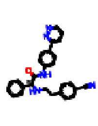 N#Cc1ccc(CCN[C@H](C(=O)Nc2ccc(-c3cccnn3)cc2)c2ccccc2)cc1